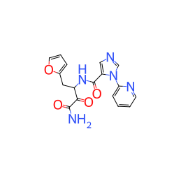 NC(=O)C(=O)C(Cc1ccco1)NC(=O)c1cncn1-c1ccccn1